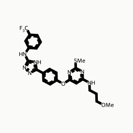 COCCCNc1cc(Oc2ccc(-c3nnc(Nc4cccc(C(F)(F)F)c4)[nH]3)cc2)nc(SC)n1